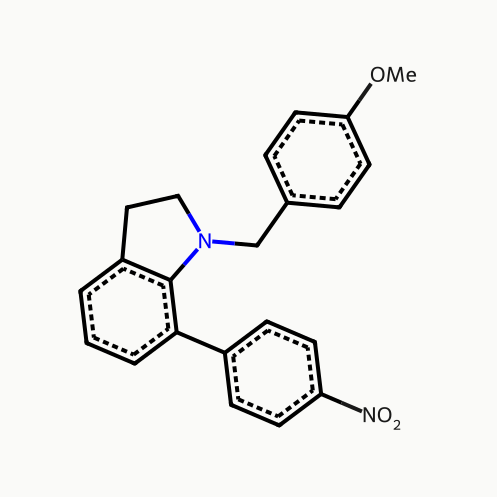 COc1ccc(CN2CCc3cccc(-c4ccc([N+](=O)[O-])cc4)c32)cc1